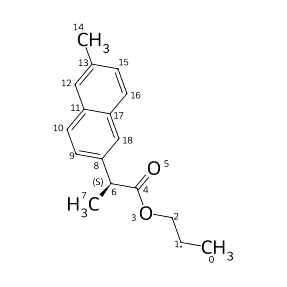 C[CH]COC(=O)[C@@H](C)c1ccc2cc(C)ccc2c1